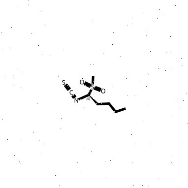 CCCC[C@@H](N=C=S)S(C)(=O)=O